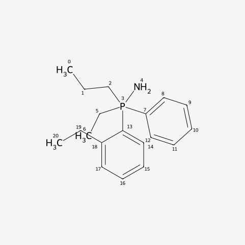 CCCP(N)(CC)(c1ccccc1)c1ccccc1CC